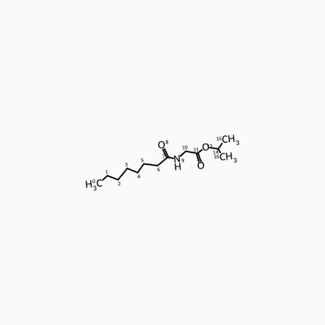 CCCCCCCC(=O)NCC(=O)OC(C)C